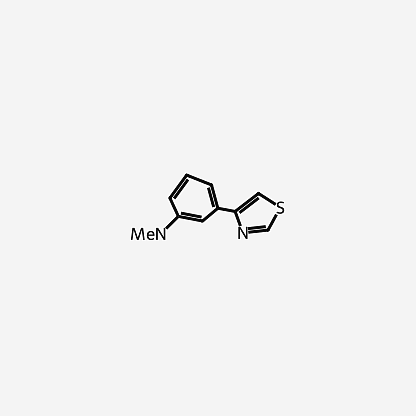 CNc1cccc(-c2cscn2)c1